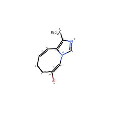 CCOC(=O)c1ncn2c1/C=C\CC/C(Br)=C\2